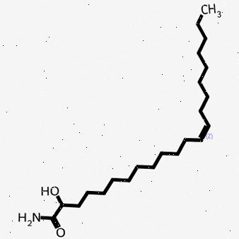 CCCCCCCC/C=C\CCCCCCCCCCC(O)C(N)=O